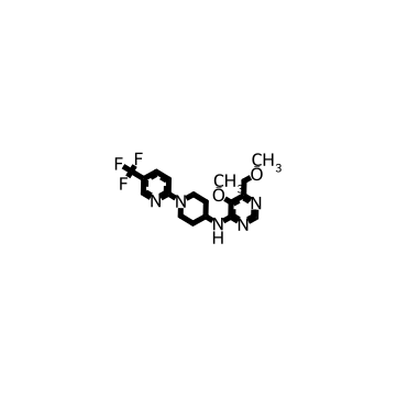 COCc1ncnc(NC2CCN(c3ccc(C(F)(F)F)cn3)CC2)c1OC